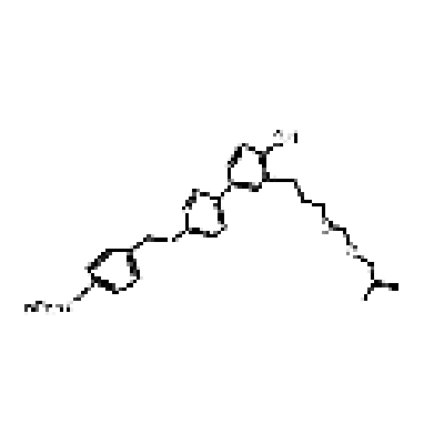 C=C(C)COCOCCCc1cc(-c2ccc(CCc3ccc(CCCCC)cc3)cc2)ccc1O